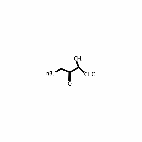 CCCCCC(=O)C(C)C=O